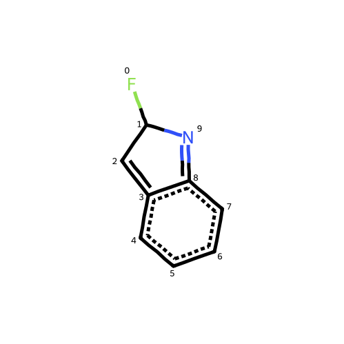 FC1C=c2ccccc2=N1